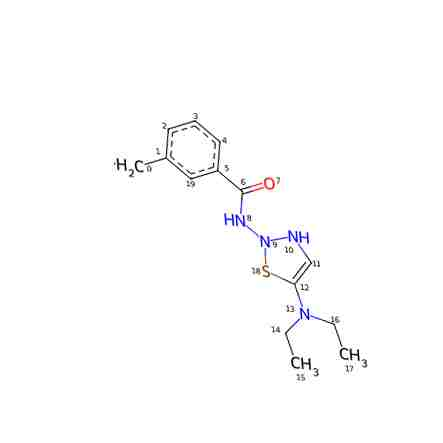 [CH2]c1cccc(C(=O)NN2NC=C(N(CC)CC)S2)c1